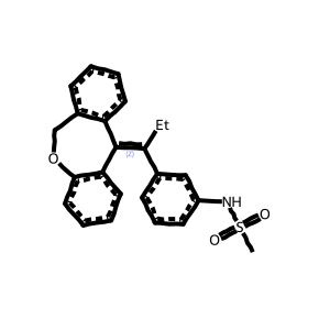 CC/C(=C1\c2ccccc2COc2ccccc21)c1cccc(NS(C)(=O)=O)c1